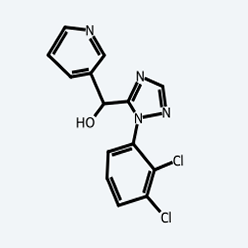 OC(c1cccnc1)c1ncnn1-c1cccc(Cl)c1Cl